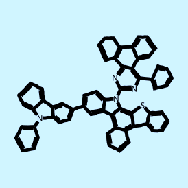 C1=Cc2c(c3ccccc3c3c(-c4ccccc4)nc(-n4c5ccc(-c6ccc7c(c6)c6ccccc6n7-c6ccccc6)cc5c5c6ccccc6c6c7ccccc7sc6c54)nc23)CC1